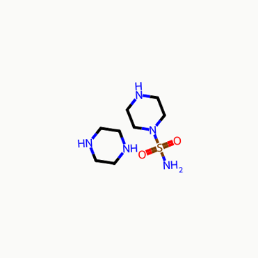 C1CNCCN1.NS(=O)(=O)N1CCNCC1